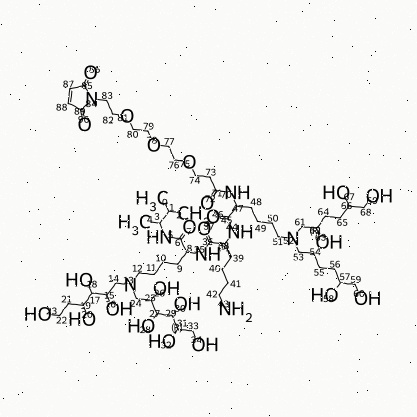 CC(C)C(C)NC(=O)C(CCCCN(CC(O)C(O)C(O)CCO)CC(O)C(O)C(O)[C@H](O)CO)NC(=O)[C@H](CCCCN)NC(=O)C(CCCCN(CCCCC(O)CO)C[C@H](O)CCC(O)CO)NC(=O)CCOCCOCCOCCN1C(=O)C=CC1=O